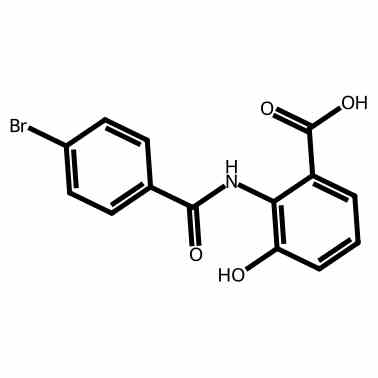 O=C(Nc1c(O)cccc1C(=O)O)c1ccc(Br)cc1